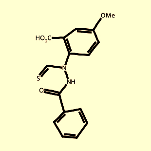 COc1ccc(N(C=S)NC(=O)c2ccccc2)c(C(=O)O)c1